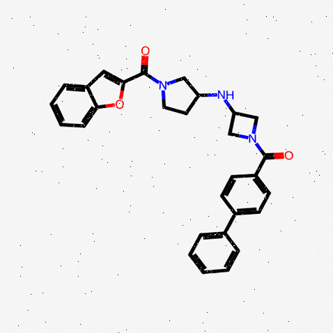 O=C(c1ccc(-c2ccccc2)cc1)N1CC(NC2CCN(C(=O)c3cc4ccccc4o3)C2)C1